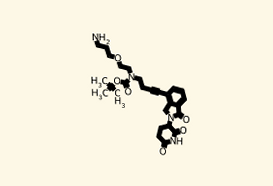 CC(C)(C)OC(=O)N(CCC#Cc1cccc2c1CN(C1CCC(=O)NC1=O)C2=O)CCOCCCN